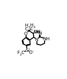 CC1(C)Oc2ccc([S+]([O-])C(F)(F)F)cc2C(N2CCCN/C2=N/C#N)C1O